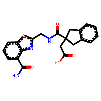 NC(=O)c1cccc2sc(CNC(=O)C3(CC(=O)O)Cc4ccccc4C3)nc12